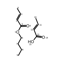 C/C=C/C(=O)OCCCC.CC=CC(=O)O